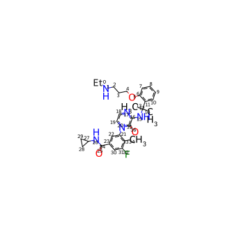 CCNCCCOc1ccccc1C(C)(C)Nc1nccn(-c2cc(C(=O)NC3CC3)cc(F)c2C)c1=O